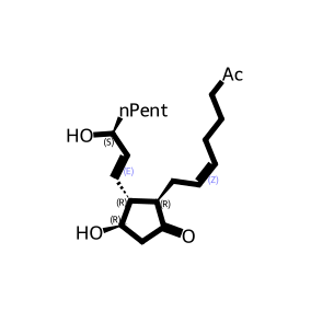 CCCCC[C@H](O)/C=C/[C@H]1[C@H](O)CC(=O)[C@@H]1C/C=C\CCCC(C)=O